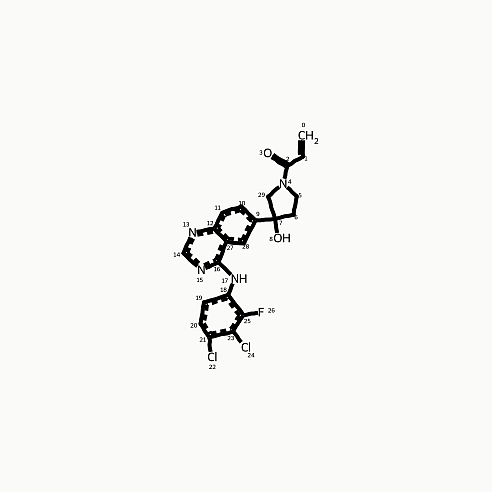 C=CC(=O)N1CCC(O)(c2ccc3ncnc(Nc4ccc(Cl)c(Cl)c4F)c3c2)C1